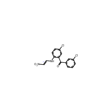 O=C(c1cccc(Cl)c1)c1cc(Cl)ccc1N/C=C/[N+](=O)[O-]